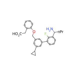 CCCC(N)c1cccc(-c2cc(COc3ccccc3CC(=O)O)cc(C3CC3)c2)c1F